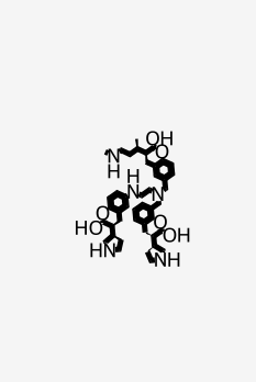 CNCC[C@@H](C)[C@H](Cc1cccc(CN(CCNc2cccc(C[C@H](C(=O)O)[C@H]3CCNC3)c2)Cc2cccc(C[C@H](C(=O)O)[C@H]3CCNC3)c2)c1)C(=O)O